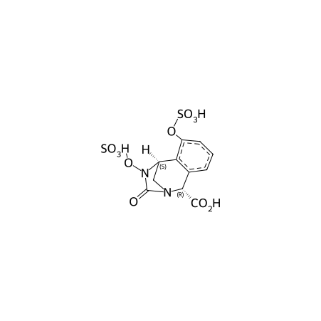 O=C(O)[C@H]1c2cccc(OS(=O)(=O)O)c2[C@H]2CN1C(=O)N2OS(=O)(=O)O